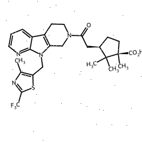 Cc1nc(C(F)(F)F)sc1Cn1c2c(c3cccnc31)CCN(C(=O)C[C@H]1CC[C@@](C)(C(=O)O)C1(C)C)C2